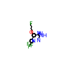 N#Cc1[nH]nnc1-c1cc(OCCCCF)cc(-c2ccc(C(F)(F)F)cn2)c1